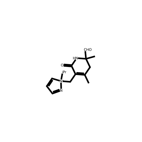 CC1=C(C[N+]2(C(C)C)C=CC=N2)C(=O)NC(C)(C=O)C1